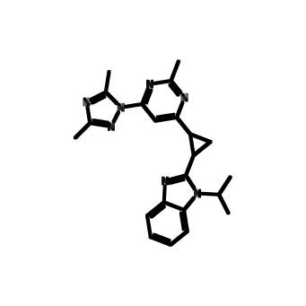 Cc1nc(C2CC2c2nc3ccccc3n2C(C)C)cc(-n2nc(C)nc2C)n1